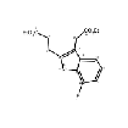 CCOC(=O)CCc1[nH]c2c(F)cccc2c1CC(=O)OCC